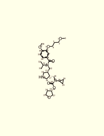 COCCCOc1cc(C(=O)N(C[C@@H]2CNC[C@H]2CN(C(=O)O[C@H]2CCOC2)C2CC2)C(C)C)ccc1OC